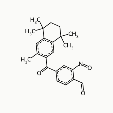 Cc1cc2c(cc1C(=O)c1ccc(C=O)c(N=O)c1)C(C)(C)CCC2(C)C